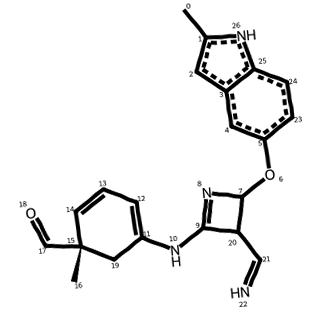 Cc1cc2cc(OC3N=C(NC4=CC=C[C@@](C)(C=O)C4)C3C=N)ccc2[nH]1